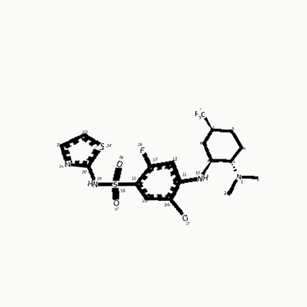 CN(C)[C@H]1CC[C@H](C(F)(F)F)C[C@@H]1Nc1cc(F)c(S(=O)(=O)Nc2nccs2)cc1Cl